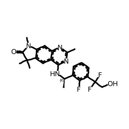 Cc1nc(N[C@H](C)c2cccc(C(F)(F)CO)c2F)c2cc3c(cc2n1)N(C)C(=O)C3(C)C